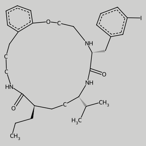 CCC[C@@H]1CC[C@@H](C(C)C)NC(=O)[C@@H](Cc2cccc(I)c2)NCCOc2ccccc2CCCNC1=O